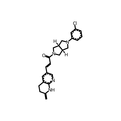 C=C1CCc2cc(/C=C/C(=O)N3C[C@@H]4CN(c5cccc(Cl)c5)C[C@@H]4C3)cnc2N1